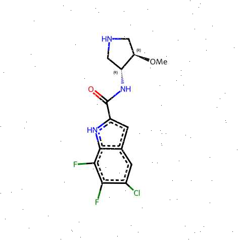 CO[C@@H]1CNC[C@H]1NC(=O)c1cc2cc(Cl)c(F)c(F)c2[nH]1